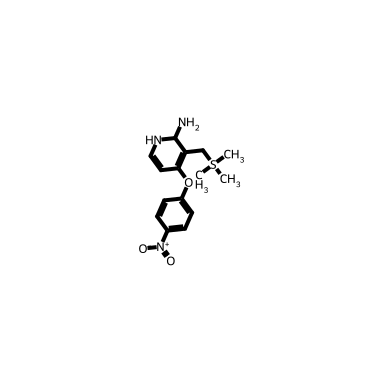 CS(C)(C)CC1=C(Oc2ccc([N+](=O)[O-])cc2)C=CNC1N